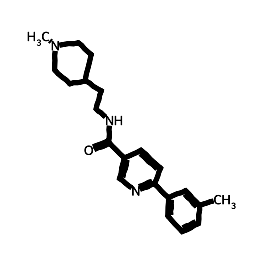 Cc1cccc(-c2ccc(C(=O)NCCC3CCN(C)CC3)cn2)c1